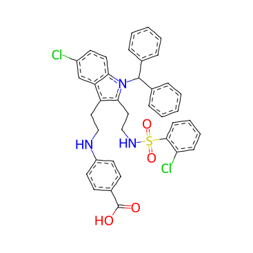 O=C(O)c1ccc(NCCc2c(CCNS(=O)(=O)c3ccccc3Cl)n(C(c3ccccc3)c3ccccc3)c3ccc(Cl)cc23)cc1